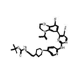 CC(C)N1CCOc2c(F)cc(-c3nc(Nc4ccc(N5CCC(CNC(=O)OC(C)(C)C)CC5)cn4)ncc3F)cc21